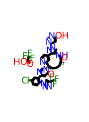 C[C@@H]1CCC[C@H](n2cnc(-c3cc(Cl)ccc3-n3cc(C(F)(F)F)nn3)cc2=O)c2cc(ccn2)-c2nn(-c3cc(O)ncn3)cc2NC1=O.O=C(O)C(F)(F)F